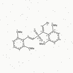 COc1cccc(OC)c1C=CS(=O)(=O)/C(=C/C(C)=O)c1c(OC)cccc1OC